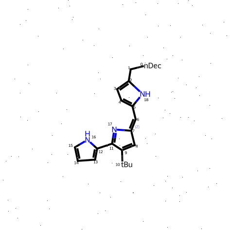 CCCCCCCCCCCc1ccc(/C=C2/C=C(C(C)(C)C)C(c3ccc[nH]3)=N2)[nH]1